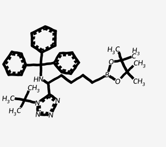 CC(C)(C)n1nnnc1C(CCCCB1OC(C)(C)C(C)(C)O1)NC(c1ccccc1)(c1ccccc1)c1ccccc1